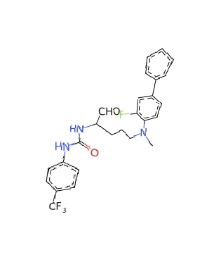 CN(CCCC(C=O)NC(=O)Nc1ccc(C(F)(F)F)cc1)c1ccc(-c2ccccc2)cc1F